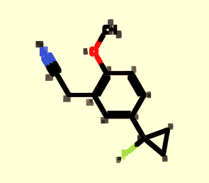 COc1ccc(C2(F)CC2)cc1CC#N